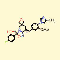 COc1cc(/C=C2\CC3(COC3)CN3C2=NOC3(CO)c2ccc(F)cc2)ccc1-n1cnc(C)c1